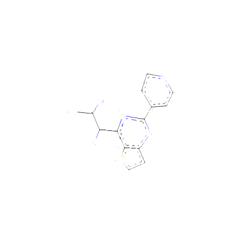 CC(N)C(N)c1nc(-c2ccncc2)nc2ccsc12